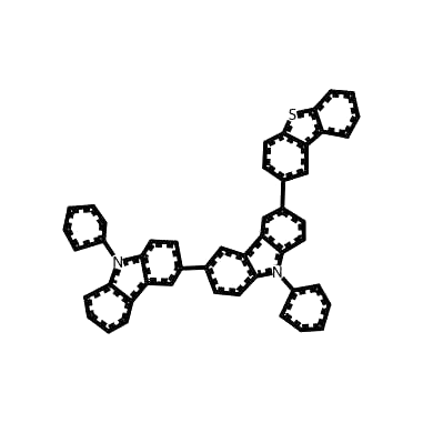 c1ccc(-n2c3ccccc3c3cc(-c4ccc5c(c4)c4cc(-c6ccc7sc8ccccc8c7c6)ccc4n5-c4ccccc4)ccc32)cc1